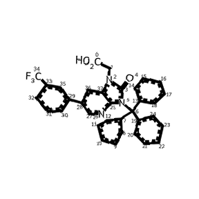 O=C(O)Cn1c(=O)n(C(c2ccccc2)(c2ccccc2)c2ccccc2)c2ncc(-c3cccc(C(F)(F)F)c3)cc21